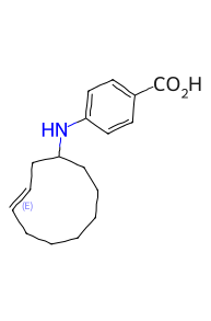 O=C(O)c1ccc(NC2C/C=C/CCCCCC2)cc1